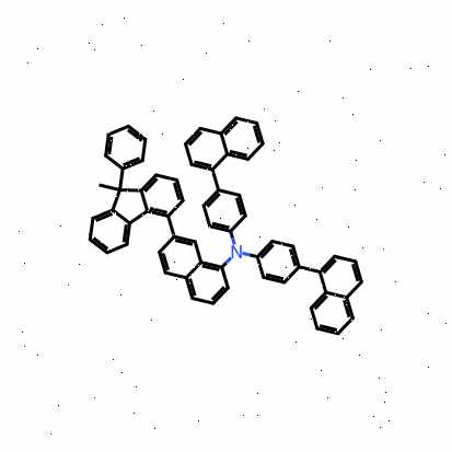 CC1(c2ccccc2)c2ccccc2-c2c(-c3ccc4cccc(N(c5ccc(-c6cccc7ccccc67)cc5)c5ccc(-c6cccc7ccccc67)cc5)c4c3)cccc21